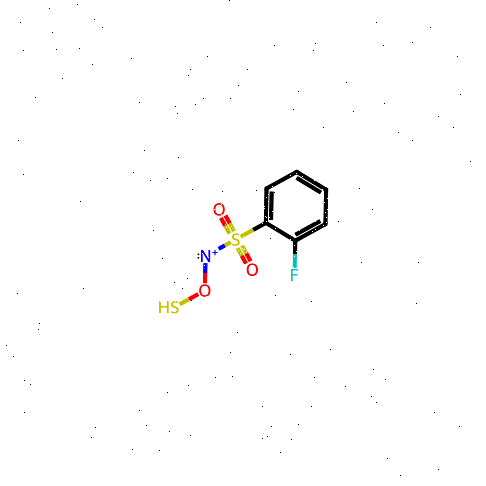 O=S(=O)([N+]OS)c1ccccc1F